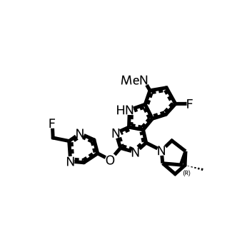 CNc1cc(F)cc2c1[nH]c1nc(Oc3cnc(CF)nc3)nc(N3CC4CC3C[C@H]4C)c12